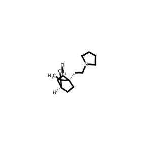 CC1(C)[C@H]2CC[C@]1(CCN1CCCC1)[C@H](Cl)C2